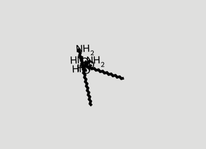 CCCCCCCCCCCCCCCCC(=O)NC(CCNCCCCN)N(NC(=O)CCCCCCCCCCCCCCCC)C(=O)CN